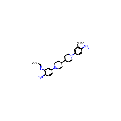 COC=Nc1cc(N2CCC(C3CCN(c4ccc(N)c(NC(C)=O)c4)CC3)CC2)ccc1N